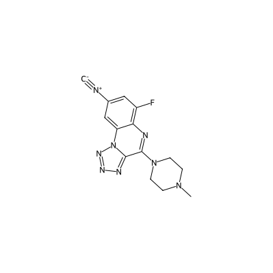 [C-]#[N+]c1cc(F)c2nc(N3CCN(C)CC3)c3nnnn3c2c1